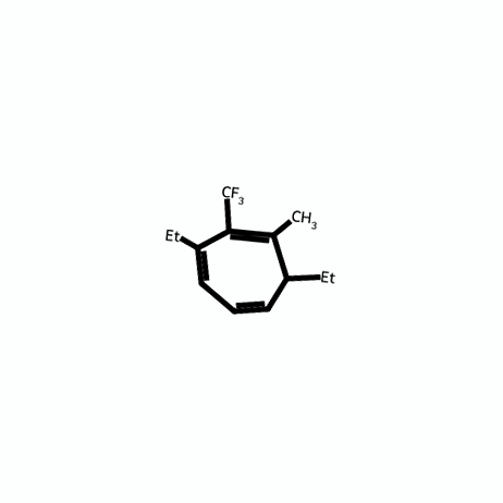 CCC1=CC=CC(CC)C(C)=C1C(F)(F)F